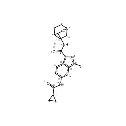 Cn1nc(C(=O)N[C@@H]2CN3CCC2CC3)c2ccc(NC(=O)C3CC3)cc21